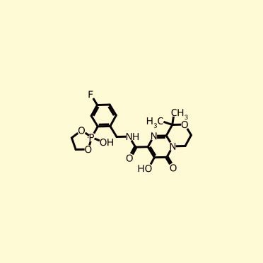 CC1(C)OCCn2c1nc(C(=O)NCc1ccc(F)cc1[P]1(O)OCCO1)c(O)c2=O